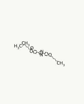 CCCCCCCOc1ccc(-c2ncc(-c3ccc(OC(=O)CCCCC(C)CC)cc3)cn2)cc1